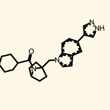 O=C(C1CCCCC1)N1C2CCC1(Cn1ccc3cc(-c4cn[nH]c4)ccc31)CC2